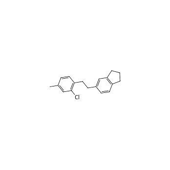 Cc1ccc(CCc2ccc3c(c2)CCC3)c(Cl)c1